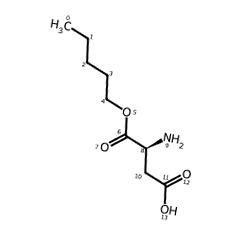 CCCCCOC(=O)[C@@H](N)CC(=O)O